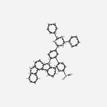 O=[N+]([O-])c1ccc(-c2cc(-c3nc(-c4ccccc4)nc(-c4ccccc4)n3)ccc2-n2c3ccccc3c3c4c(ccc32)sc2ccccc24)cc1